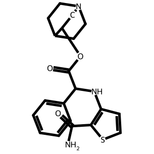 NC(=O)c1sccc1NC(C(=O)OC1CN2CCC1CC2)c1ccccc1